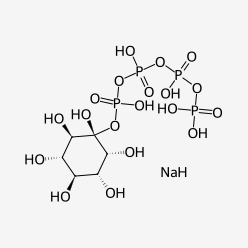 O=P(O)(O)OP(=O)(O)OP(=O)(O)OP(=O)(O)O[C@]1(O)[C@H](O)[C@H](O)[C@@H](O)[C@H](O)[C@H]1O.[NaH]